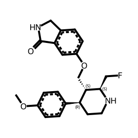 COc1ccc([C@@H]2CCN[C@H](CF)[C@H]2COc2ccc3c(c2)C(=O)NC3)cc1